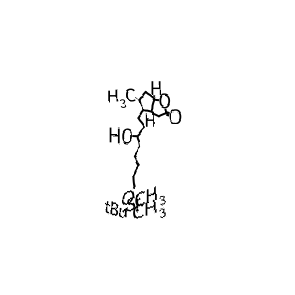 C[C@@H]1C[C@@H]2OC(=O)C[C@@H]2C1CCC(O)CCCCCO[Si](C)(C)C(C)(C)C